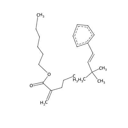 C=C(CCC)C(=O)OCCCCCC.CC(C)(C)C=Cc1ccccc1